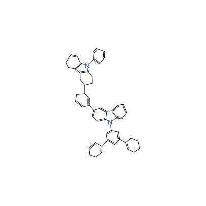 C1=CC(c2cc(C3=CCCCC3)cc(-n3c4ccccc4c4cc(C5=CC(C6CCc7c(c8c(n7-c7ccccc7)C=CCC8)C6)CC=C5)ccc43)c2)=CCC1